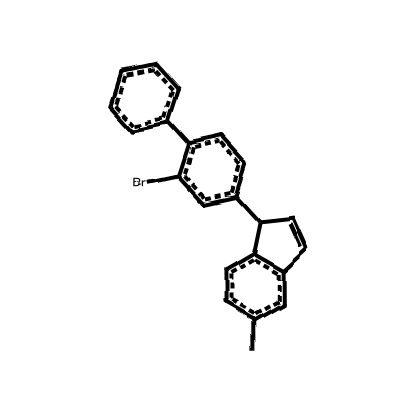 Cc1ccc2c(c1)C=CC2c1ccc(-c2ccccc2)c(Br)c1